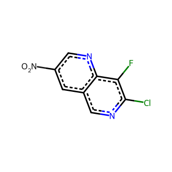 O=[N+]([O-])c1cnc2c(F)c(Cl)ncc2c1